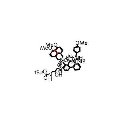 COc1ccc(CN(Cc2ccc(OC)cc2)S(=O)(=O)c2c(S(=O)(=O)CC(O)CNC(=O)OC(C)(C)C)ccc(-c3cccc4[nH]c(N)nc34)c2-c2nnn(Cc3ccc(OC)cc3)n2)cc1